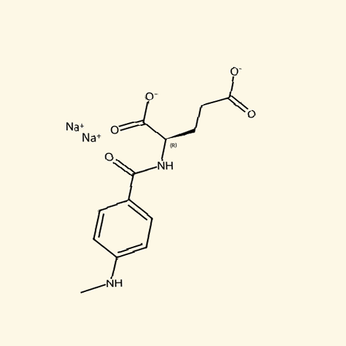 CNc1ccc(C(=O)N[C@H](CCC(=O)[O-])C(=O)[O-])cc1.[Na+].[Na+]